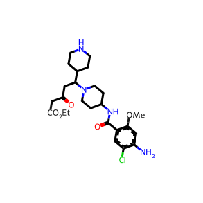 CCOC(=O)CC(=O)CC(C1CCNCC1)N1CCC(NC(=O)c2cc(Cl)c(N)cc2OC)CC1